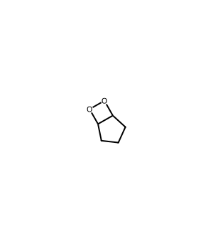 C1CC2OOC2C1